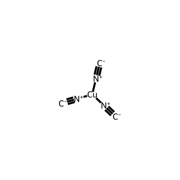 [C-]#[N+][Cu]([N+]#[C-])[N+]#[C-]